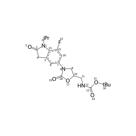 CC(C)N1C(=O)Cc2cc(N3CC(CNC(=O)OC(C)(C)C)OC3=O)cc(F)c21